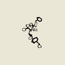 O=Cc1ccc(OCC[C@H](NC(=O)OCc2ccccc2)C(=O)O)cc1